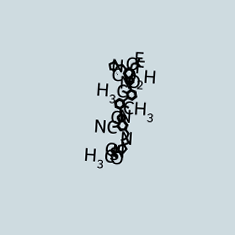 Cc1c(-c2nc3cc(CN4CCC[C@H]4C(=O)O)c(OC(F)F)cc3o2)cccc1-c1cccc(-c2nc3cc(CN4CC5(CCN(S(C)(=O)=O)C5)C4)cc(C#N)c3o2)c1C